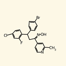 Cc1cc(C(CC(c2ccc(Br)cc2)c2ccc(Cl)cc2F)=NO)ccn1